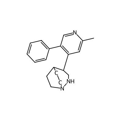 Cc1cc(C2CNN3CCC2CC3)c(-c2ccccc2)cn1